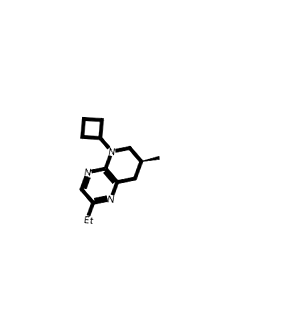 CCc1cnc2c(n1)C[C@H](C)CN2C1CCC1